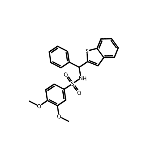 COc1ccc(S(=O)(=O)NC(c2ccccc2)c2cc3ccccc3s2)cc1OC